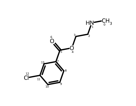 CNCCOC(=O)c1cccc(Cl)c1